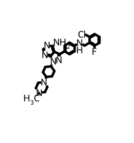 CN1CCN(C2CCC(n3nc(-c4ccc(NCc5c(F)cccc5Cl)cc4)c4c(N)ncnc43)CC2)CC1